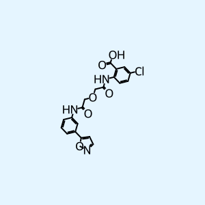 O=C(COCC(=O)Nc1ccc(Cl)cc1C(=O)O)Nc1cccc(-c2ccno2)c1